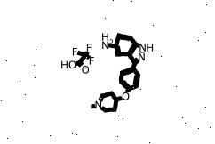 CN1CCC(Oc2ccc(-c3n[nH]c4ccc(N)cc34)cc2)CC1.O=C(O)C(F)(F)F